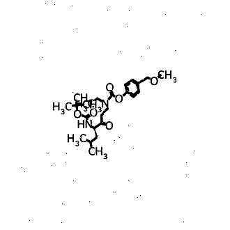 CCN(CCC(=O)[C@@H](CC(C)C)NC(=O)OC(C)(C)C)C(=O)Oc1ccc(COC)cc1